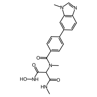 CNC(=O)C(C(=O)NO)N(C)C(=O)c1ccc(-c2ccc3ncn(C)c3c2)cc1